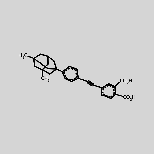 CC12CC3CC(C)(C1)CC(c1ccc(C#Cc4ccc(C(=O)O)c(C(=O)O)c4)cc1)(C3)C2